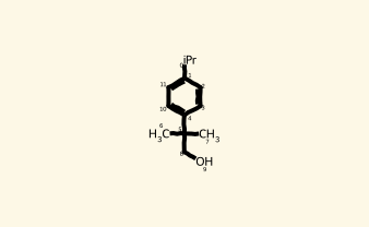 CC(C)c1ccc(C(C)(C)CO)cc1